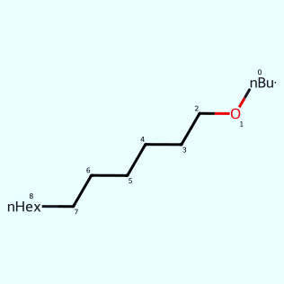 CCC[CH]OCCCCCCCCCCCC